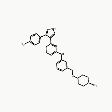 Cc1ccc(-c2n[nH]cc2-c2ccnc(Nc3cccc(COC4CCN(C)CC4)c3)n2)cc1